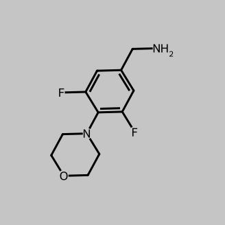 NCc1cc(F)c(N2CCOCC2)c(F)c1